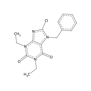 CCn1c(=O)c2c(nc(Cl)n2Cc2ccccc2)n(CC)c1=O